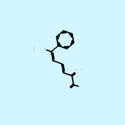 O=C(O)C(=O)/C=C/C=C(/O)c1ccccc1